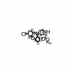 CCOC(=O)CC1CN(C2=NC3=CCC(Cl)C=C3Oc3ccccc32)CCN1